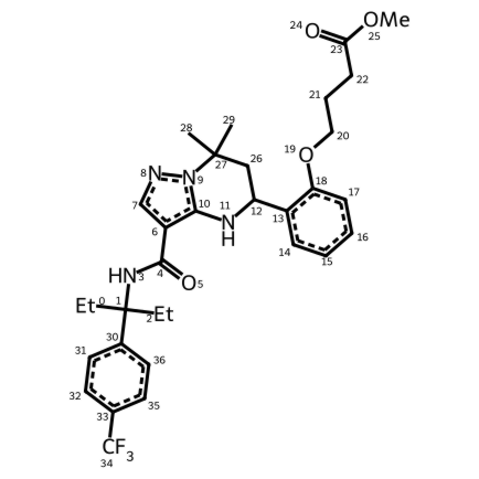 CCC(CC)(NC(=O)c1cnn2c1NC(c1ccccc1OCCCC(=O)OC)CC2(C)C)c1ccc(C(F)(F)F)cc1